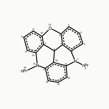 CCCN1c2cccc3c2C2c4c(cccc4N(CCC)c4cccc1c42)O3